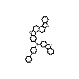 c1ccc(-c2ccc(N(c3ccc4oc5ccccc5c4c3)c3ccc4oc5ccc6c(ccc7oc8ccccc8c76)c5c4c3)cc2)cc1